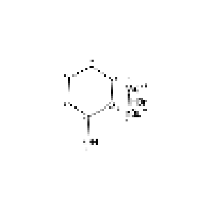 Br.CCC[CH2][Mg+2].OC1CCCCO1